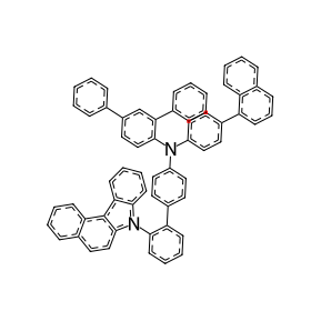 c1ccc(-c2ccc(N(c3ccc(-c4ccccc4-n4c5ccccc5c5c6ccccc6ccc54)cc3)c3ccc(-c4cccc5ccccc45)cc3)c(-c3ccccc3)c2)cc1